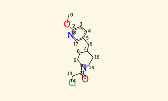 COc1ccc(CC2CCN(C(=O)CCl)CC2)cn1